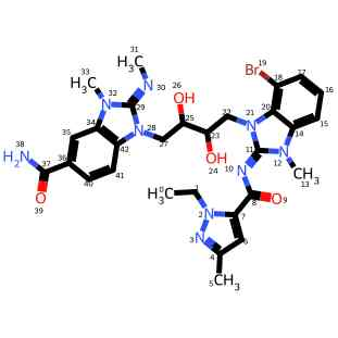 CCn1nc(C)cc1C(=O)/N=c1\n(C)c2cccc(Br)c2n1CC(O)C(O)Cn1/c(=N/C)n(C)c2cc(C(N)=O)ccc21